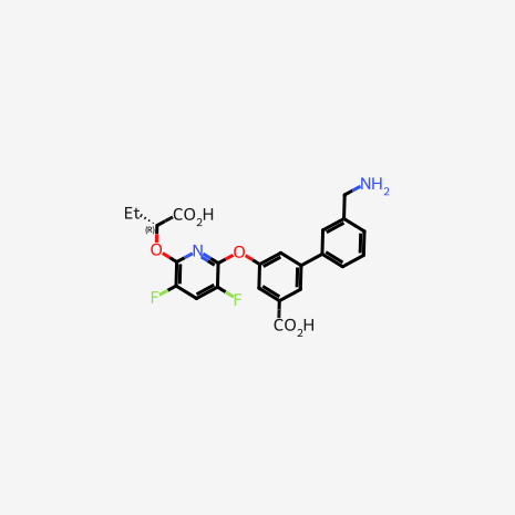 CC[C@@H](Oc1nc(Oc2cc(C(=O)O)cc(-c3cccc(CN)c3)c2)c(F)cc1F)C(=O)O